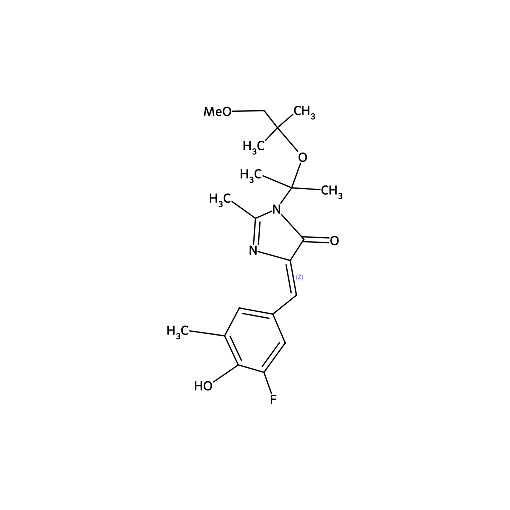 COCC(C)(C)OC(C)(C)N1C(=O)/C(=C/c2cc(C)c(O)c(F)c2)N=C1C